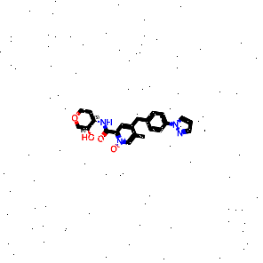 Cc1c[n+]([O-])c(C(=O)N[C@H]2CCOC[C@@H]2O)cc1Cc1ccc(-n2cccn2)cc1